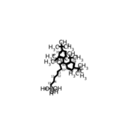 CC(C)(C)c1ccc(C(CCCCCCC[PH](O)(O)O)c2ccc(C(C)(C)C)cc2C(C)(C)C)c(C(C)(C)C)c1